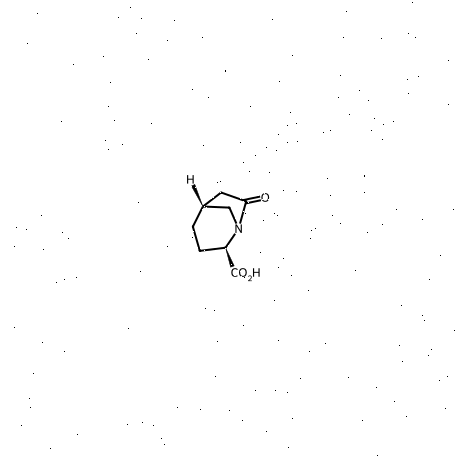 O=C(O)[C@H]1CC[C@@H]2CC(=O)N1C2